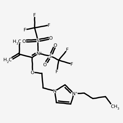 C=C(C)C(OCCn1cc[n+](CCCC)c1)=[N+](S(=O)(=O)C(F)(F)F)S(=O)(=O)C(F)(F)F